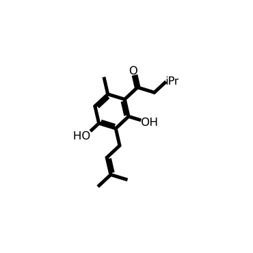 CC(C)=CCc1c(O)cc(C)c(C(=O)CC(C)C)c1O